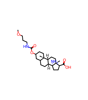 COCCCNC(=O)OC1CC[C@@]2(C)C(CC[C@@H]3[C@H]2CC[C@]2(C)C(C(=O)O)CC[C@@]32N)C1